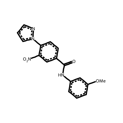 COc1cccc(NC(=O)c2ccc(-n3cccn3)c([N+](=O)[O-])c2)c1